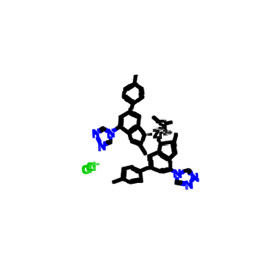 CC1=Cc2c(cc(-c3ccc(C)cc3)cc2-n2cnnc2)[C@@H]1[Zr+2]([C@H]1C(C)=Cc2c1cc(-c1ccc(C)cc1)cc2-n1cnnc1)=[Si](C)C.[Cl-].[Cl-]